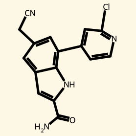 N#CCc1cc(-c2ccnc(Cl)c2)c2[nH]c(C(N)=O)cc2c1